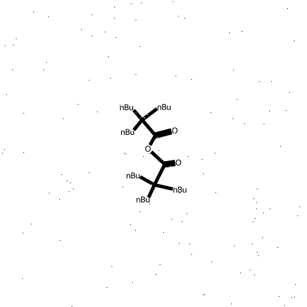 CCCCC(CCCC)(CCCC)C(=O)OC(=O)C(CCCC)(CCCC)CCCC